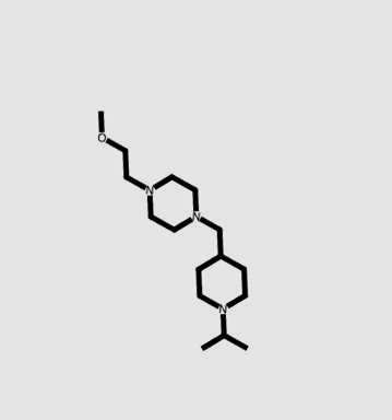 COCCN1CCN(CC2CCN(C(C)C)CC2)CC1